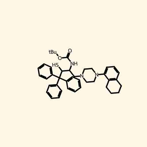 CC(C)(C)OC(=O)NC(CN1CCN(c2cccc3c2CCCC3)CC1)C(S)C(c1ccccc1)(c1ccccc1)c1ccccc1